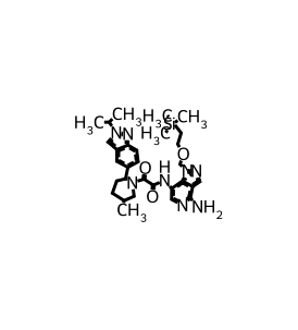 CC1CCC(c2ccc3nn(C(C)C)cc3c2)N(C(=O)C(=O)Nc2cnc(N)c3cnn(COCC[Si](C)(C)C)c23)C1